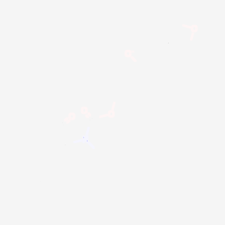 CN(C(=O)OCC[S+]([O-])CC1(C)COC1)C1(c2ccccc2Cl)CCCCC1=O